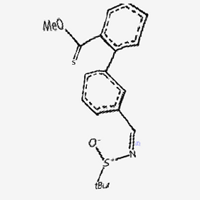 COC(=S)c1ccccc1-c1cccc(/C=N\[S+]([O-])C(C)(C)C)c1